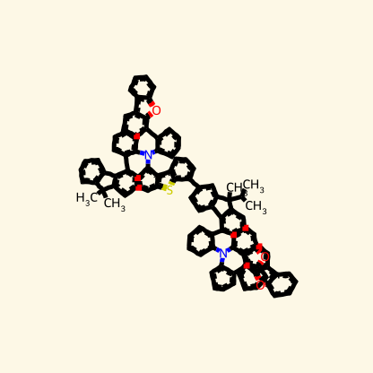 CC(C)C1(C)c2cc(-c3cccc4c3sc3cccc(N(c5ccccc5-c5cccc6c5-c5ccccc5C6(C)C)c5ccccc5-c5cccc6c5oc5ccccc56)c34)ccc2-c2c(-c3ccccc3N(c3ccccc3-c3cccc4c3oc3ccccc34)c3cccc4oc5ccccc5c34)cccc21